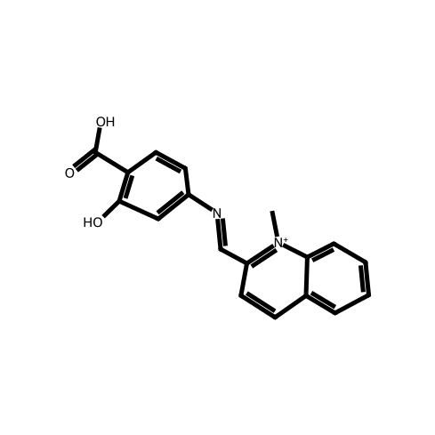 C[n+]1c(C=Nc2ccc(C(=O)O)c(O)c2)ccc2ccccc21